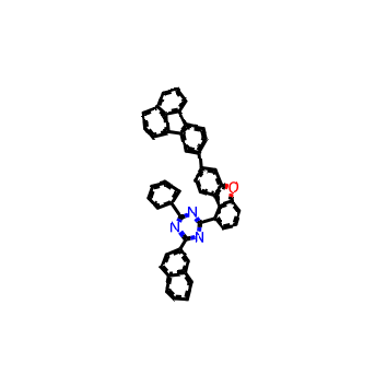 c1ccc(-c2nc(-c3ccc4ccccc4c3)nc(-c3cccc4oc5cc(-c6ccc7c(c6)-c6cccc8cccc-7c68)ccc5c34)n2)cc1